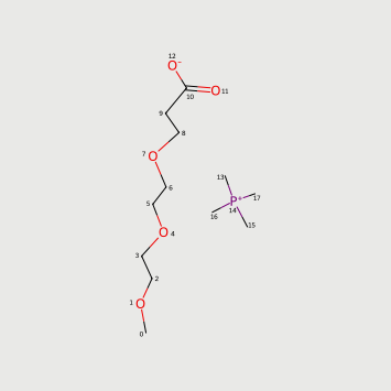 COCCOCCOCCC(=O)[O-].C[P+](C)(C)C